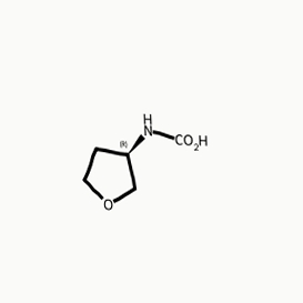 O=C(O)N[C@@H]1CCOC1